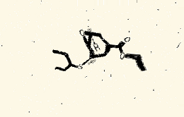 CCOC(=O)C1=C[C@@H](OC(CC)CC)C2O[C@H]2C1